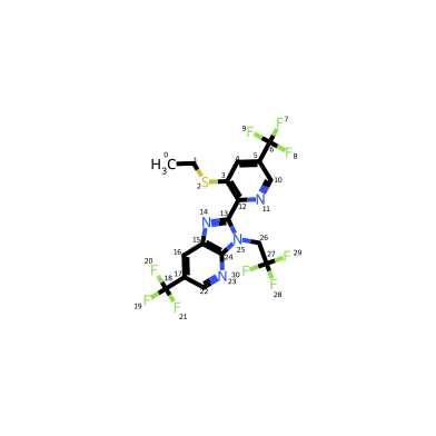 CCSc1cc(C(F)(F)F)cnc1-c1nc2cc(C(F)(F)F)cnc2n1CC(F)(F)F